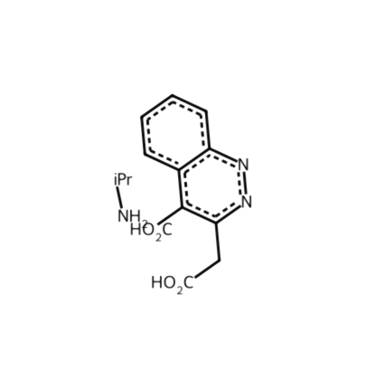 CC(C)N.O=C(O)Cc1nnc2ccccc2c1C(=O)O